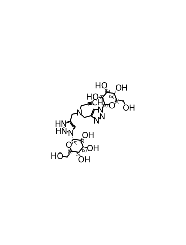 C#CCN(CC1=CN([C@H]2O[C@H](CO)[C@@H](O)[C@H](O)[C@@H]2O)NN1)Cc1cn([C@H]2O[C@H](CO)[C@@H](O)[C@H](O)[C@@H]2O)nn1